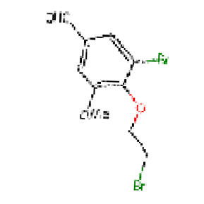 COc1cc(C=O)cc(Br)c1OCCBr